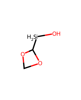 O[SiH2]C1OCO1